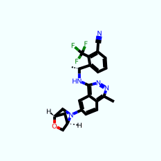 Cc1nnc(N[C@H](C)c2cccc(C#N)c2C(F)(F)F)c2cc(N3C[C@H]4C[C@@H]3CO4)ccc12